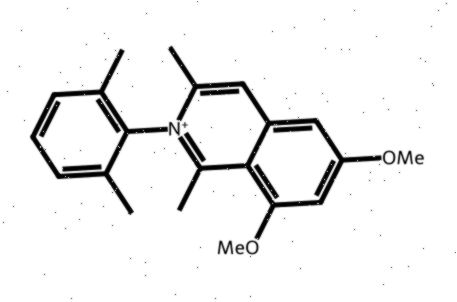 COc1cc(OC)c2c(C)[n+](-c3c(C)cccc3C)c(C)cc2c1